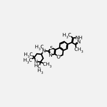 Cc1n[nH]c(C)c1-c1ccc2c(c1)COc1nc(N(C)C3CC(C)(C)NC(C)(C)C3)sc1-2